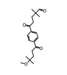 COC(C)(C)CCC(=O)c1ccc(C(=O)CCC(C)(C)C=O)cc1